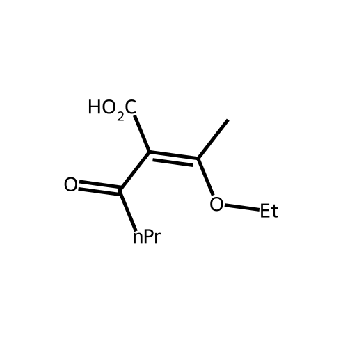 CCCC(=O)C(C(=O)O)=C(C)OCC